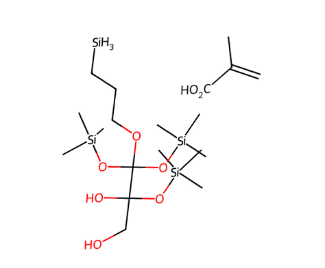 C=C(C)C(=O)O.C[Si](C)(C)OC(O)(CO)C(OCCC[SiH3])(O[Si](C)(C)C)O[Si](C)(C)C